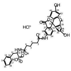 Cl.O=C(CCCCC(=O)NC(Cc1ccccc1)P(=O)(O)O)Nc1ccc2c(c1)C(=O)OC21c2ccc(O)cc2Oc2cc(O)ccc21